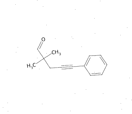 CC(C)(C=O)CC#Cc1ccccc1